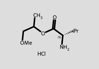 COCC(C)OC(=O)[C@@H](N)C(C)C.Cl